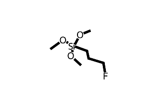 CO[Si](CCCF)(OC)OC